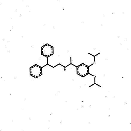 CC(C)Oc1ccc(C(C)NCCC(c2ccccc2)c2ccccc2)cc1OC(C)C